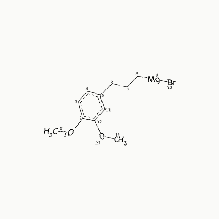 COc1ccc(CC[CH2][Mg][Br])cc1OC